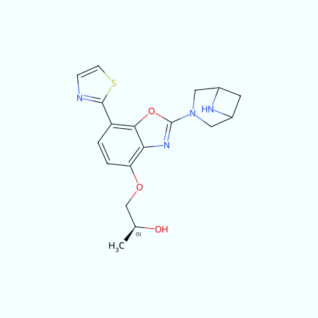 C[C@H](O)COc1ccc(-c2nccs2)c2oc(N3CC4CC(C3)N4)nc12